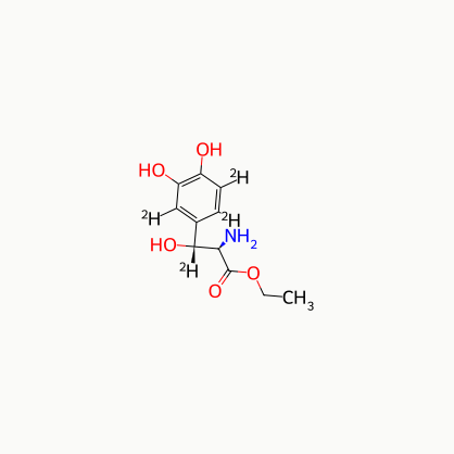 [2H]c1c([2H])c([C@@]([2H])(O)[C@@H](N)C(=O)OCC)c([2H])c(O)c1O